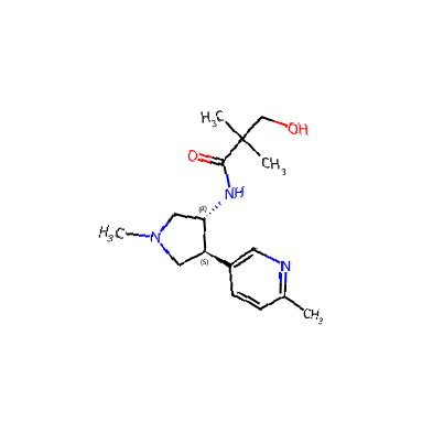 Cc1ccc([C@H]2CN(C)C[C@@H]2NC(=O)C(C)(C)CO)cn1